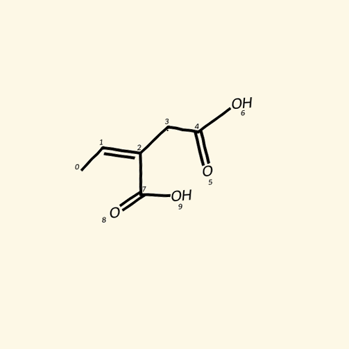 CC=C([CH]C(=O)O)C(=O)O